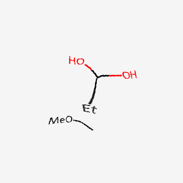 CCC(O)O.COC